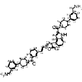 C[C@@]1(c2cccc3[nH]c(C(=O)N4CCC(c5cccc(CN)c5)CC4)cc23)OB(/C=C/c2cccc(C(=O)N3CCC(c4cccc(CN)c4)CC3)c2)OC1=O